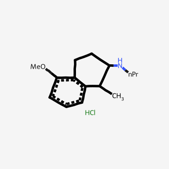 CCCNC1CCc2c(OC)cccc2C1C.Cl